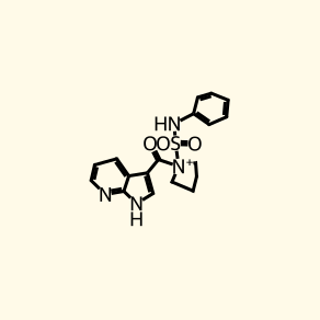 O=C(c1c[nH]c2ncccc12)[N+]1(S(=O)(=O)Nc2ccccc2)CCCC1